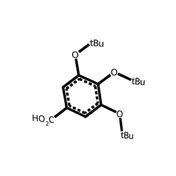 CC(C)(C)Oc1cc(C(=O)O)cc(OC(C)(C)C)c1OC(C)(C)C